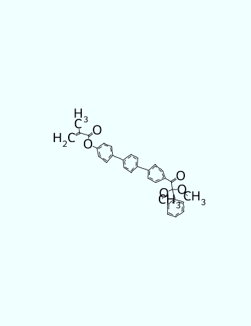 C=C(C)C(=O)Oc1ccc(-c2ccc(-c3ccc(C(=O)C(OC)(OC)c4ccccc4)cc3)cc2)cc1